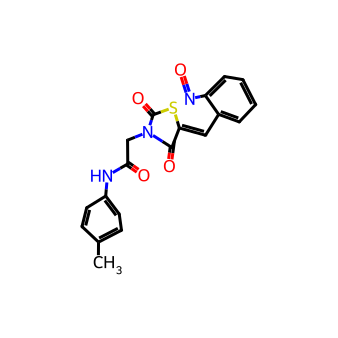 Cc1ccc(NC(=O)CN2C(=O)S/C(=C\c3ccccc3N=O)C2=O)cc1